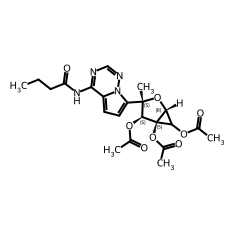 CCCC(=O)Nc1ncnn2c([C@]3(C)O[C@@H]4C(OC(C)=O)[C@]4(OC(C)=O)[C@H]3OC(C)=O)ccc12